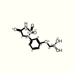 O=C1CN(c2cccc(OCB(O)O)c2)S(=O)(=O)N1